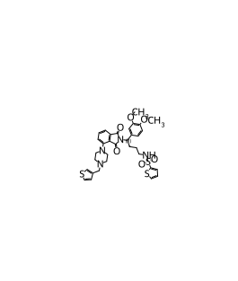 COc1ccc([C@@H](CCCNS(=O)(=O)c2cccs2)N2C(=O)c3cccc(N4CCN(Cc5ccsc5)CC4)c3C2=O)cc1OC